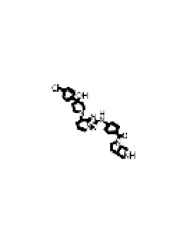 O=C(c1ccc(Nc2nc3c(N4CCC(O)(c5ccc(Cl)cc5)CC4)cccn3n2)cc1)N1CCC2CNCC21